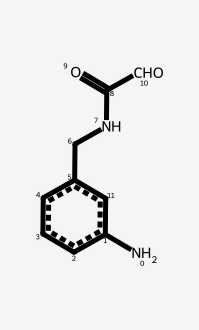 Nc1cccc(CNC(=O)C=O)c1